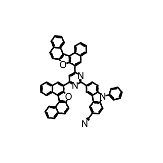 N#Cc1ccc2c(c1)c1cc(-c3nc(-c4cc5ccccc5c5c4oc4ccc6ccccc6c45)cc(-c4cc5ccccc5c5c4oc4ccc6ccccc6c45)n3)ccc1n2-c1ccccc1